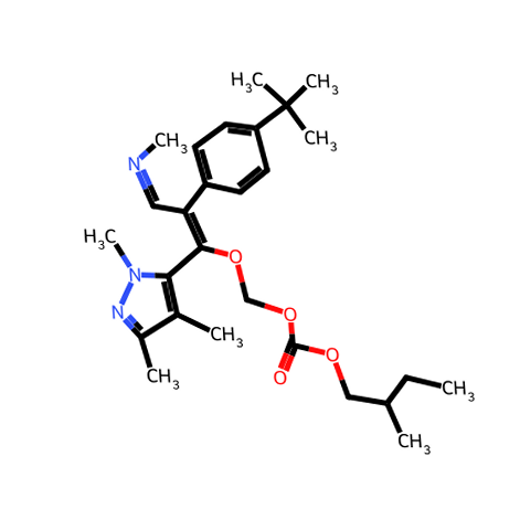 CCC(C)COC(=O)OCO/C(=C(/C=N\C)c1ccc(C(C)(C)C)cc1)c1c(C)c(C)nn1C